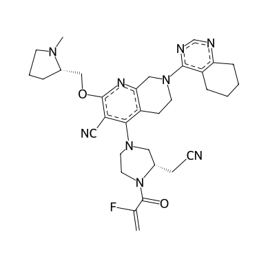 C=C(F)C(=O)N1CCN(c2c(C#N)c(OC[C@@H]3CCCN3C)nc3c2CCN(c2ncnc4c2CCCC4)C3)C[C@@H]1CC#N